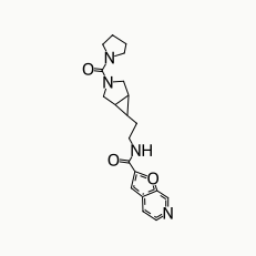 O=C(NCCC1C2CN(C(=O)N3CCCC3)CC12)c1cc2ccncc2o1